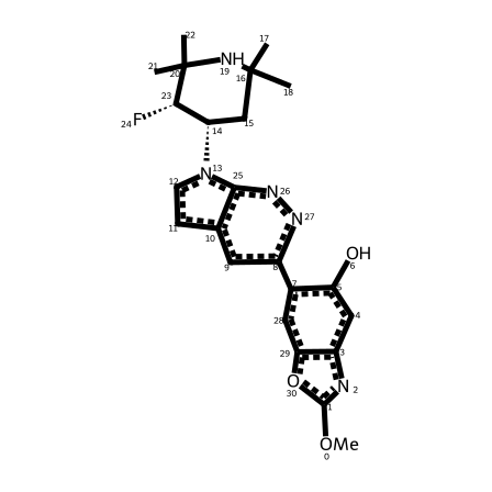 COc1nc2cc(O)c(-c3cc4ccn([C@H]5CC(C)(C)NC(C)(C)[C@H]5F)c4nn3)cc2o1